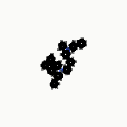 c1ccc(-c2ccc(N(c3cccc(-c4cccc(-c5ccc6c7ccccc7n(-c7ccc(-c8ccccc8)cc7)c6c5)c4)c3)c3ccc4c(c3)C3(c5ccccc5-c5ccccc53)c3ccccc3-4)cc2)cc1